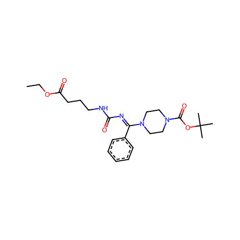 CCOC(=O)CCCNC(=O)/N=C(\c1ccccc1)N1CCN(C(=O)OC(C)(C)C)CC1